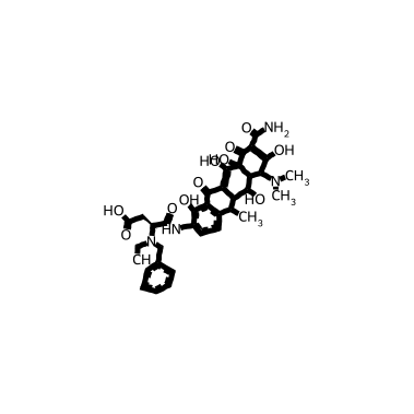 CCN(Cc1ccccc1)[C@@H](CC(=O)O)C(=O)Nc1ccc2c(c1O)C(=O)C1=C(O)C3(O)C(=O)C(C(N)=O)=C(O)C(N(C)C)C3C(O)C1C2C